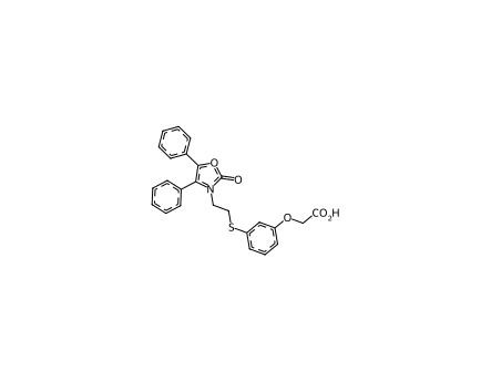 O=C(O)COc1cccc(SCCn2c(-c3ccccc3)c(-c3ccccc3)oc2=O)c1